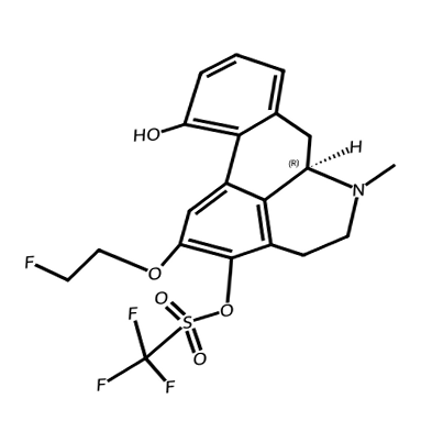 CN1CCc2c(OS(=O)(=O)C(F)(F)F)c(OCCF)cc3c2[C@H]1Cc1cccc(O)c1-3